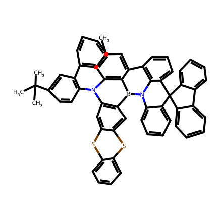 Cc1cc2c3c(c1)N(c1ccc(C(C)(C)C)cc1-c1ccccc1)c1cc4c(cc1B3N1c3ccccc3C3(c5ccccc5-c5ccccc53)c3cccc-2c31)Sc1ccccc1S4